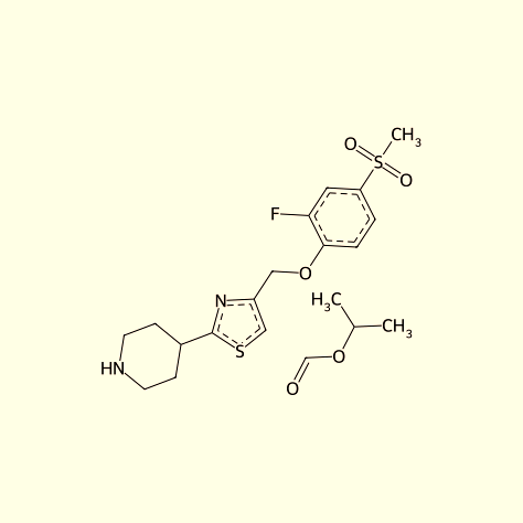 CC(C)OC=O.CS(=O)(=O)c1ccc(OCc2csc(C3CCNCC3)n2)c(F)c1